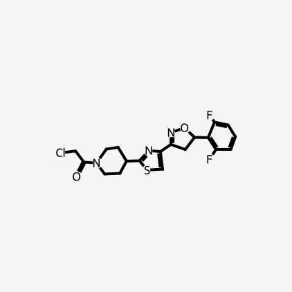 O=C(CCl)N1CCC(c2nc(C3=NOC(c4c(F)cccc4F)C3)cs2)CC1